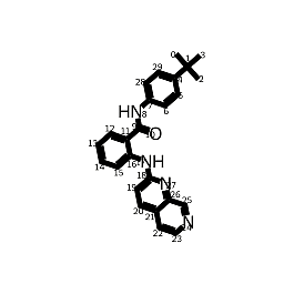 CC(C)(C)c1ccc(NC(=O)c2ccccc2Nc2ccc3ccncc3n2)cc1